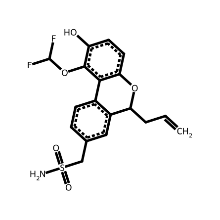 C=CCC1Oc2ccc(O)c(OC(F)F)c2-c2ccc(CS(N)(=O)=O)cc21